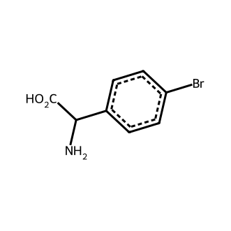 NC(C(=O)O)c1ccc(Br)cc1